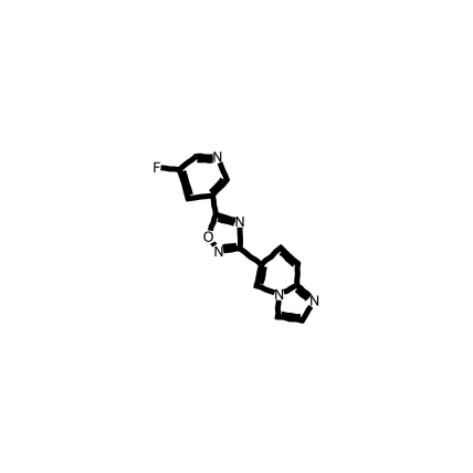 Fc1cncc(-c2nc(-c3ccc4nccn4c3)no2)c1